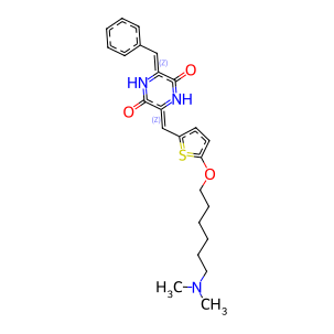 CN(C)CCCCCCOc1ccc(/C=c2\[nH]c(=O)/c(=C/c3ccccc3)[nH]c2=O)s1